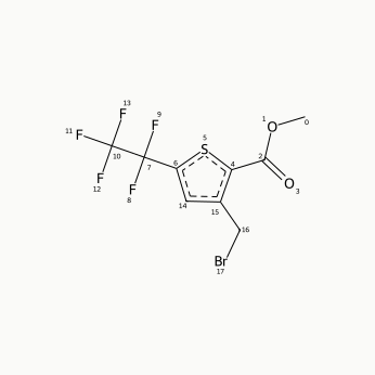 COC(=O)c1sc(C(F)(F)C(F)(F)F)cc1CBr